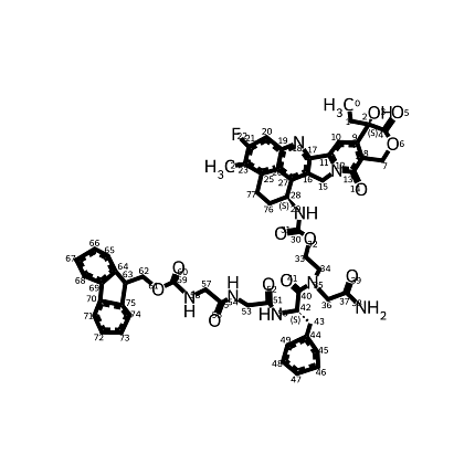 CC[C@@]1(O)C(=O)OCc2c1cc1n(c2=O)Cc2c-1nc1cc(F)c(C)c3c1c2[C@@H](NC(=O)OCCN(CC(N)=O)C(=O)[C@H](Cc1ccccc1)NC(=O)CNC(=O)CNC(=O)OCC1c2ccccc2-c2ccccc21)CC3